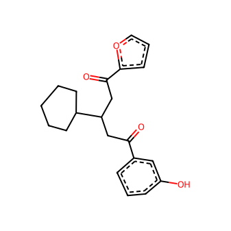 O=C(CC(CC(=O)c1ccco1)C1CCCCC1)c1cccc(O)c1